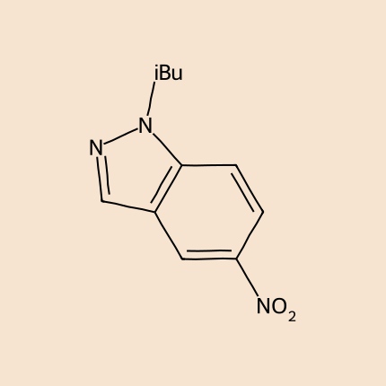 CCC(C)n1ncc2cc([N+](=O)[O-])ccc21